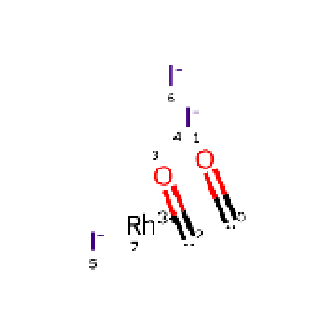 [C]=O.[C]=O.[I-].[I-].[I-].[Rh+3]